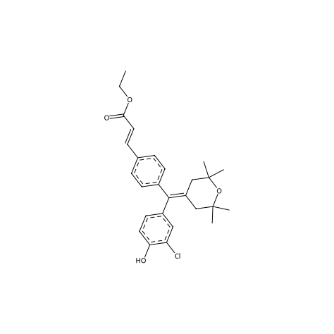 CCOC(=O)C=Cc1ccc(C(=C2CC(C)(C)OC(C)(C)C2)c2ccc(O)c(Cl)c2)cc1